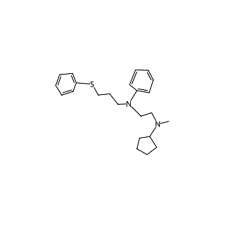 CN(CCN(CCCSc1ccccc1)c1ccccc1)C1CCCC1